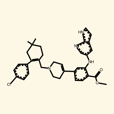 COC(=O)c1ccc(C2=CCN(CC3=C(c4ccc(Cl)cc4)CC(C)(C)CC3)CC2)cc1Nc1cnc2[nH]ccc2c1